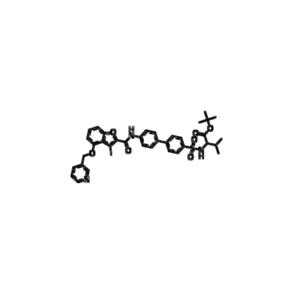 Cc1c(C(=O)Nc2ccc(-c3ccc(S(=O)(=O)NC(C(=O)OC(C)(C)C)C(C)C)cc3)cc2)oc2cccc(OCc3cccnc3)c12